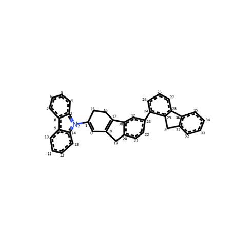 C1=C(n2c3ccccc3c3ccccc32)CCC2=C1Cc1ccc(-c3cccc4c3Cc3ccccc3-4)cc12